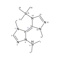 CN1C=NN([SiH](C)C)/C1=C1\N(C)N=CN1[Si](C)(C)C